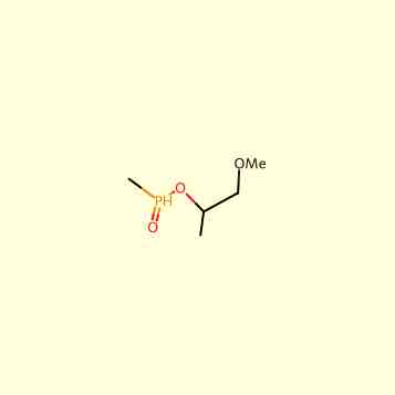 COCC(C)O[PH](C)=O